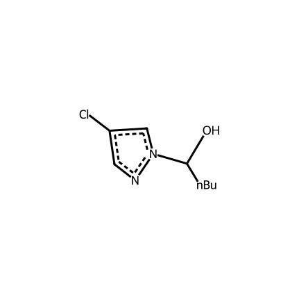 CCCCC(O)n1cc(Cl)cn1